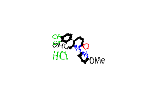 COc1cccc(N2C(=O)CC[C@@H](c3ccc(Cl)c(Cl)c3)C2CC=O)n1.Cl